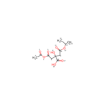 CC(=O)OC(=O)CC(O)(CC(=O)OC(C)C)C(=O)O